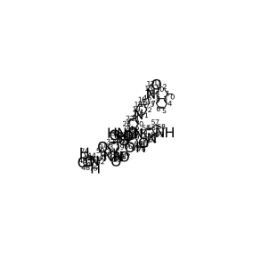 CC(C)c1ccccc1[C@@H]1COCCN1C1CC2(CCN(c3ccc(C(=O)NS(=O)(=O)c4cc5c(c([N+](=O)[O-])c4)N[C@@H](CN4C[C@@H]6C[C@H]4CO6)CO5)c(N4c5cc6cc[nH]c6nc5O[C@H]5COCC[C@@H]54)c3)CC2)C1